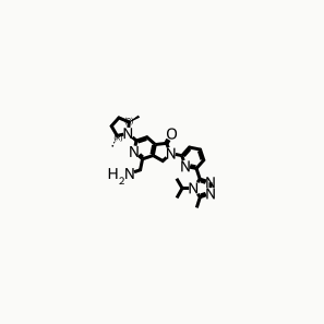 Cc1nnc(-c2cccc(N3Cc4c(cc(N5[C@H](C)CC[C@H]5C)nc4CN)C3=O)n2)n1C(C)C